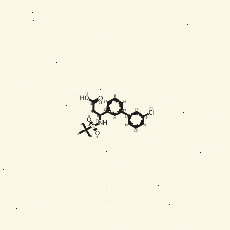 CC(C)(C)S(=O)(=O)NC(CC(=O)O)c1cccc(-c2cccc(Cl)c2)c1